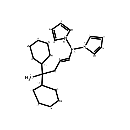 CC(CC=CP(n1cccc1)n1cccc1)(C1CCCCC1)C1CCCCC1